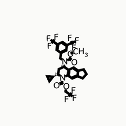 COC(=O)N(Cc1cc(C(F)(F)F)cc(C(F)(F)F)c1)[C@H]1C[C@@H](C2CC2)N(C(=O)OCC(F)(F)F)c2cc3c(cc21)CCC3